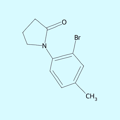 Cc1ccc(N2CCCC2=O)c(Br)c1